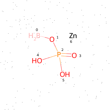 BOP(=O)(O)O.[Zn]